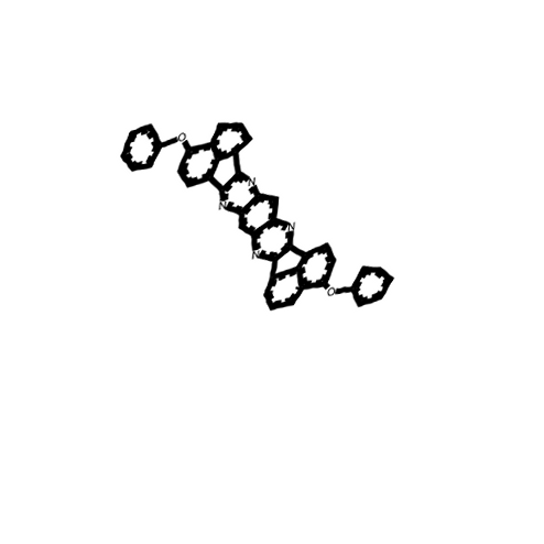 c1ccc(Oc2ccc3c4c(cccc24)-c2nc4cc5nc6c(nc5cc4nc2-3)-c2cccc3c(Oc4ccccc4)ccc-6c23)cc1